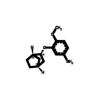 COc1ccc(N)cc1O[C@@H]1C[C@H]2CC[C@@H]1C2